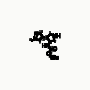 Cn1cc([C@@H]2CNC[C@H]2NC(=O)OC(C)(C)C)cn1